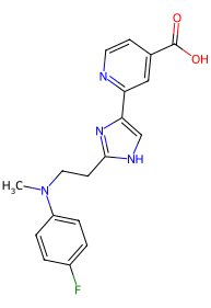 CN(CCc1nc(-c2cc(C(=O)O)ccn2)c[nH]1)c1ccc(F)cc1